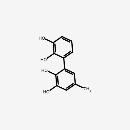 Cc1cc(O)c(O)c(-c2cccc(O)c2O)c1